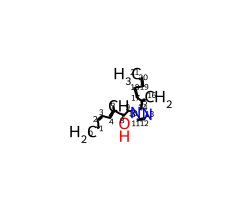 C=C/C=C\C=C(/C)C(O)Cn1ccnc1C(=C)/C=C\C=C/C